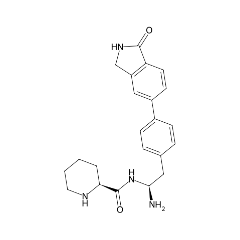 N[C@H](Cc1ccc(-c2ccc3c(c2)CNC3=O)cc1)NC(=O)[C@@H]1CCCCN1